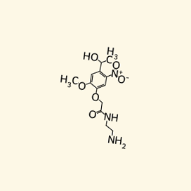 COc1cc(C(C)O)c([N+](=O)[O-])cc1OCC(=O)NCCN